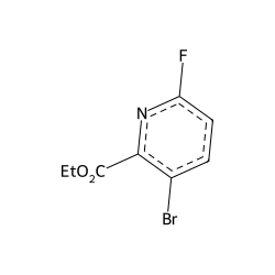 CCOC(=O)c1nc(F)ccc1Br